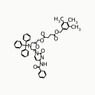 Cc1cc(COC(=O)CCC(=O)OC[C@@H]2CN(C(c3ccccc3)(c3ccccc3)c3ccccc3)C[C@H](n3ccc(NC(=O)c4ccccc4)nc3=O)O2)cc(C)c1C